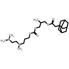 [CH2]C(COC(=O)CC12CC3CC(CC(C3)C1)C2)COC(=O)OCCCN(C)CCN(C)C